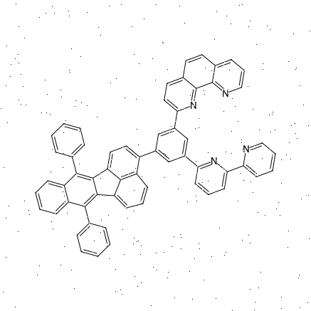 c1ccc(-c2c3c(c(-c4ccccc4)c4ccccc24)-c2ccc(-c4cc(-c5cccc(-c6ccccn6)n5)cc(-c5ccc6ccc7cccnc7c6n5)c4)c4cccc-3c24)cc1